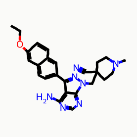 CCOc1ccc2cc(-c3nn(CC4(C#N)CCN(C)CC4)c4ncnc(N)c34)ccc2c1